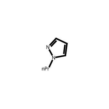 [CH2]CCn1cccn1